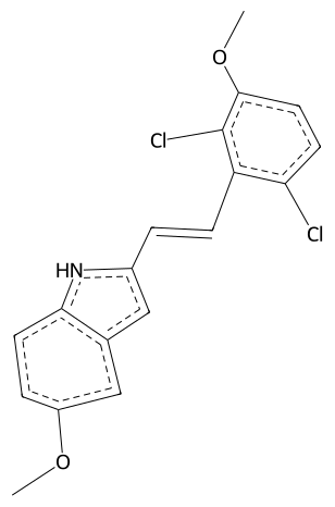 COc1ccc2[nH]c(C=Cc3c(Cl)ccc(OC)c3Cl)cc2c1